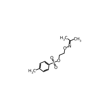 CC(C)=NOCCOS(=O)(=O)c1ccc(C)cc1